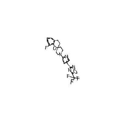 Fc1cccc2c1OC1(CC2)CCN(c2ccc(-c3noc(C(F)(F)F)n3)cn2)CC1